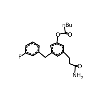 CCCCC(=O)Oc1cc(CCC(N)=O)cc(Cc2cccc(F)c2)c1